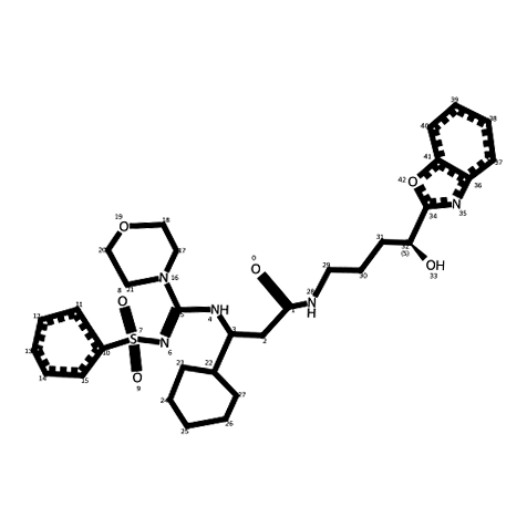 O=C(CC(NC(=NS(=O)(=O)c1ccccc1)N1CCOCC1)C1CCCCC1)NCCC[C@H](O)c1nc2ccccc2o1